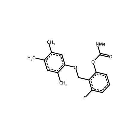 CNC(=O)Oc1cccc(F)c1COc1cc(C)c(C)cc1C